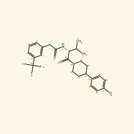 CC(C)[C@@H](NC(=O)Cc1cccc(C(F)(F)F)c1)C(=O)N1CCC(c2ccc(Cl)cc2)CC1